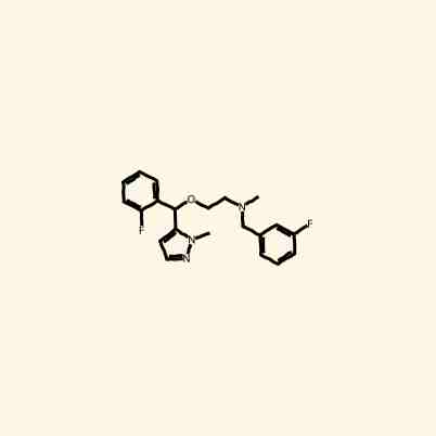 CN(CCOC(c1ccccc1F)c1ccnn1C)Cc1cccc(F)c1